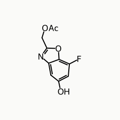 CC(=O)OCc1nc2cc(O)cc(F)c2o1